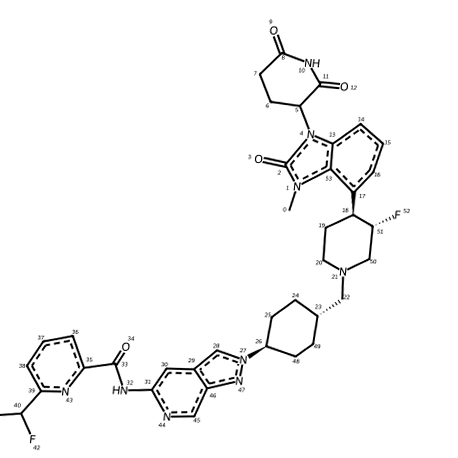 Cn1c(=O)n(C2CCC(=O)NC2=O)c2cccc([C@@H]3CCN(C[C@H]4CC[C@H](n5cc6cc(NC(=O)c7cccc(C(F)F)n7)ncc6n5)CC4)C[C@H]3F)c21